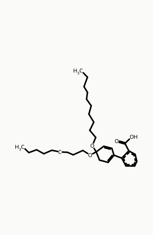 CCCCCCCCCCOC1(OCCCCCCCCC)C=CC(c2ccccc2C(=O)O)=CC1